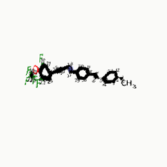 CC[C@H]1CC[C@H](CCC2CCC(/C=C/C#Cc3cc(F)c(OC(F)(F)F)c(F)c3)CC2)CC1